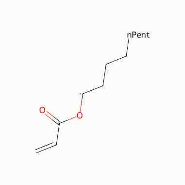 [CH2]CCCCCCC[CH]OC(=O)C=C